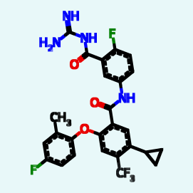 Cc1cc(F)ccc1Oc1cc(C(F)(F)F)c(C2CC2)cc1C(=O)Nc1ccc(F)c(C(=O)NC(=N)N)c1